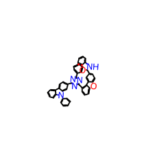 c1ccc(-c2nc(-c3ccc4c5ccccc5n(-c5ccccc5)c4c3)nc(-c3cccc4oc5ccc(C6Nc7ccccc7O6)cc5c34)n2)cc1